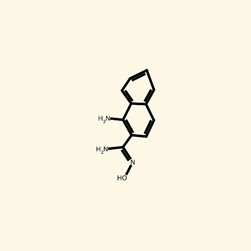 NC(=NO)c1ccc2ccccc2c1N